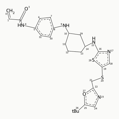 C=CC(=O)Nc1ccc(NC2CCCC(Nc3ncc(SCc4ncc(C(C)(C)C)o4)s3)C2)cc1